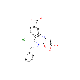 Cl.O=C(O)C[C@H]1Nc2cc(C(=O)O)ccc2CN(CCc2ccccc2)C1=O